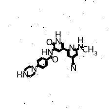 CNc1cc(C#N)cc(-c2c[nH]c(=O)c(NC(=O)c3ccc(N4CCNCC4)cc3)c2)n1